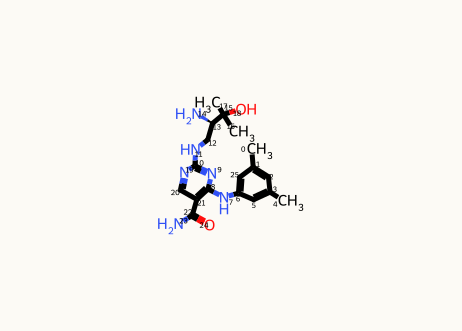 Cc1cc(C)cc(Nc2nc(NC[C@@H](N)C(C)(C)O)ncc2C(N)=O)c1